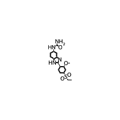 CCS(=O)(=O)c1ccc(-c2nc3cc(NC(N)=O)ccc3[nH]2)c(OC)c1